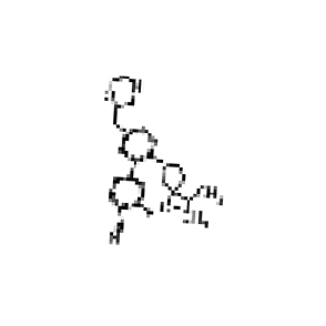 CC(C)C1(O)CCN(c2ccc(CC3CNCCO3)cc2-c2ccc(C#N)c(F)c2)C1